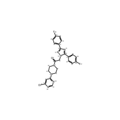 CCc1cc(N2CCN(C(=O)Cn3nc(-c4ccc(F)cc4)nc3-c3ccc(F)cc3)CC2)ncn1